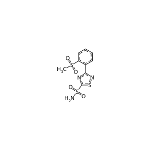 CS(=O)(=O)c1ccccc1-c1nsc(S(N)(=O)=O)n1